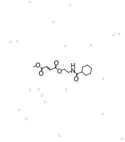 COC(=O)/C=C/C(=O)OCCNC(=O)C1CCCCC1